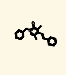 Cc1cn(Cc2ccccc2)c(=O)c(C)c1/C=C/c1ccccc1